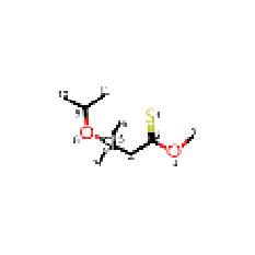 COC(=S)C[Si](C)(C)OC(C)C